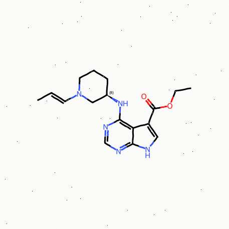 CC=CN1CCC[C@@H](Nc2ncnc3[nH]cc(C(=O)OCC)c23)C1